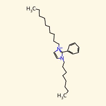 CCCCCCCCCC[n+]1ccn(CCCCCCCC)c1-c1ccccc1